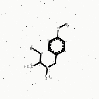 CCOc1ccc(CN(C)C(CC(C)C)C(=O)O)cc1